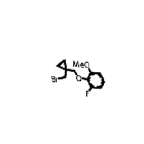 COc1cccc(F)c1OCC1(CBr)CC1